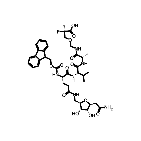 CC(C)[C@H](NC(=O)[C@H](CCC(=O)NC[C@H]1O[C@@H](CC(N)=O)[C@H](O)[C@@H]1O)NC(=O)OCC1c2ccccc2-c2ccccc21)C(=O)N[C@@H](C)C(=O)NCOC[C@@](C)(F)C(=O)O